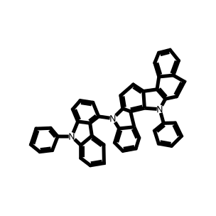 c1ccc(-n2c3ccccc3c3c(-n4c5ccccc5c5c4ccc4c6c7ccccc7ccc6n(-c6ccccc6)c45)cccc32)cc1